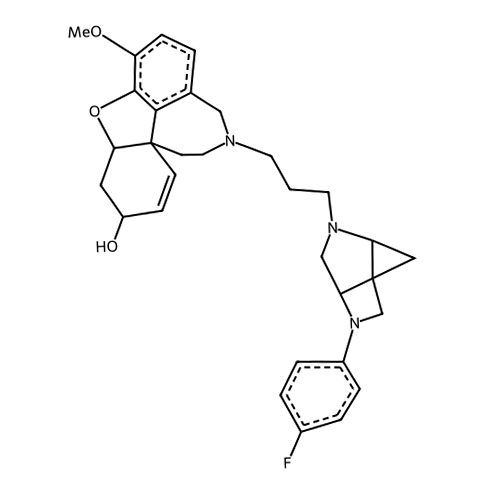 COc1ccc2c3c1OC1CC(O)C=CC31CCN(CCCN1CC3N(c4ccc(F)cc4)CC34CC14)C2